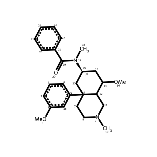 COc1cccc(C23CCN(C)CC2C(OC)C[C@H](N(C)C(=O)c2ccccc2)C3)c1